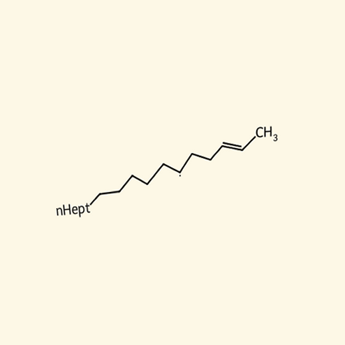 CC=CCC[CH]CCCCCCCCCCCC